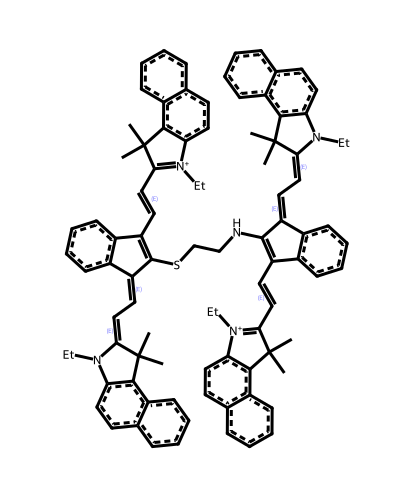 CCN1/C(=C/C=C2C(NCCSC3=C(/C=C/C4=[N+](CC)c5ccc6ccccc6c5C4(C)C)c4ccccc4/C3=C\C=C3\N(CC)c4ccc5ccccc5c4C3(C)C)=C(/C=C/C3=[N+](CC)c4ccc5ccccc5c4C3(C)C)c3ccccc3/2)C(C)(C)c2c1ccc1ccccc21